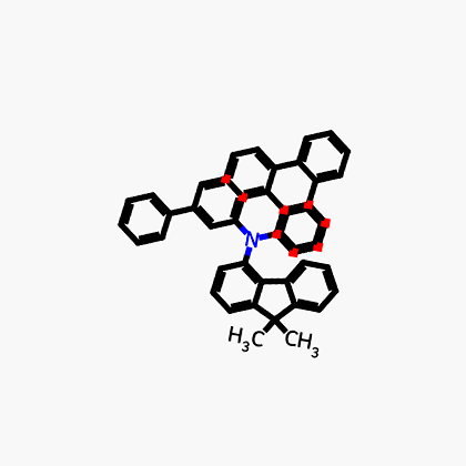 CC1(C)c2ccccc2-c2c(N(c3cccc(-c4ccccc4)c3)c3ccccc3-c3ccccc3-c3ccccc3-c3ccccc3)cccc21